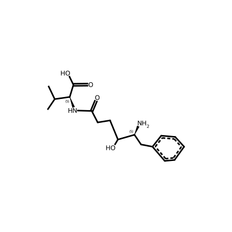 CC(C)[C@H](NC(=O)CCC(O)[C@@H](N)Cc1ccccc1)C(=O)O